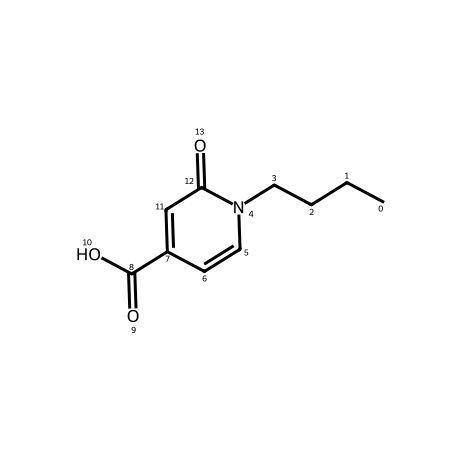 CCCCn1ccc(C(=O)O)cc1=O